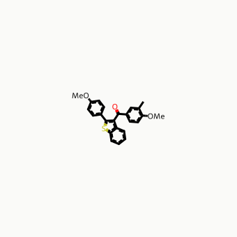 COc1ccc(-c2sc3ccccc3c2C(=O)c2ccc(OC)c(C)c2)cc1